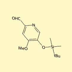 COc1cc(C=O)ncc1O[Si](C)(C)C(C)(C)C